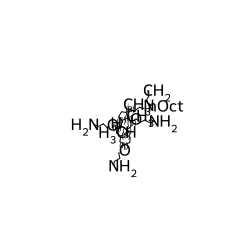 C=CCN(CCCCCCCC)CCC[C@@H](C)C1CC[C@H]2C3[C@H](OCCCN)CC4C[C@H](OCCCN)CC[C@]4(C)[C@H]3C[C@H](OCCCN)[C@]12C